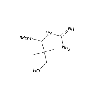 CCCCCC(NC(=N)N)C(C)(C)CO